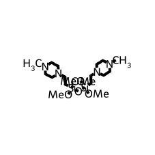 CO[Si](CCN1CCN(C)CC1)(OC)O[Si](CCN1CCN(C)CC1)(OC)OC